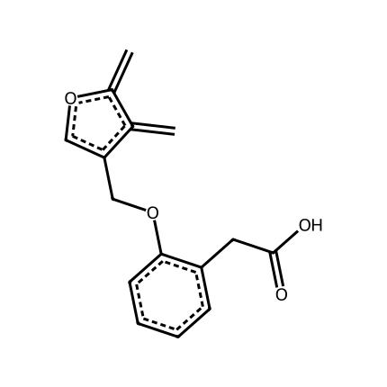 C=c1occ(COc2ccccc2CC(=O)O)c1=C